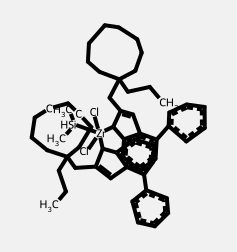 CCCC1(CC2=Cc3c(-c4ccccc4)cccc3[CH]2[Zr]([Cl])([Cl])([CH]2C(CC3(CCC)CCCCCCCC3)=Cc3c(-c4ccccc4)cccc32)[SiH](C)C)CCCCCCCC1